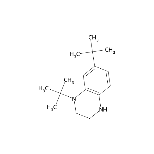 CC(C)(C)c1ccc2c(c1)N(C(C)(C)C)CCN2